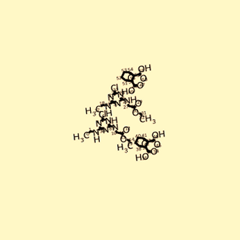 CCNc1nc(Cl)nc(NCC(=O)OCC)n1.CCNc1nc(Cl)nc(NCC(=O)OCC)n1.O=C(O)C1C2CCC(O2)C1C(=O)O.O=C(O)C1C2CCC(O2)C1C(=O)O